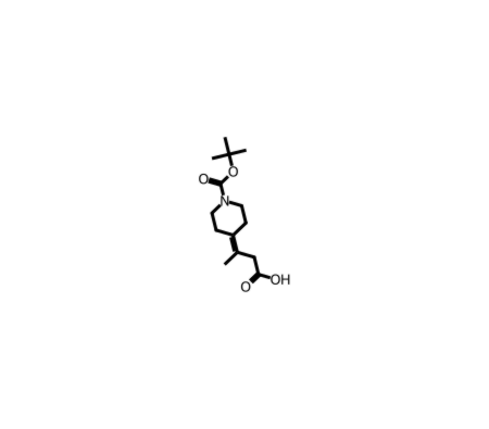 CC(CC(=O)O)=C1CCN(C(=O)OC(C)(C)C)CC1